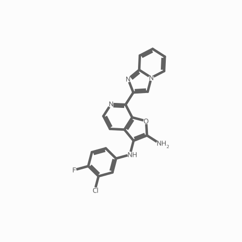 Nc1oc2c(-c3cn4ccccc4n3)nccc2c1Nc1ccc(F)c(Cl)c1